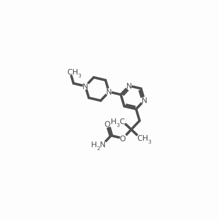 CCN1CCN(c2cc(CC(C)(C)OC(N)=O)ncn2)CC1